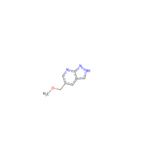 COCc1cnc2n[nH]cc2c1